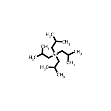 CC(C)C[Se](CC(C)C)(CC(C)C)CC(C)C